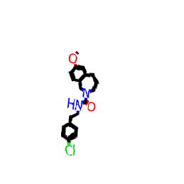 COc1ccc2c(c1)CCCN(C(=O)NCCc1ccc(Cl)cc1)C2